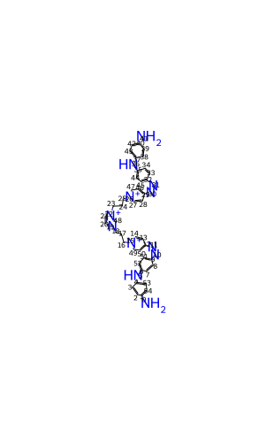 Nc1ccc(Nc2ccc(/N=N\c3cc[n+](CCCn4cc[n+](CCC[n+]5ccc(/N=N\c6ccc(Nc7ccc(N)cc7)cc6)cc5)c4)cc3)cc2)cc1